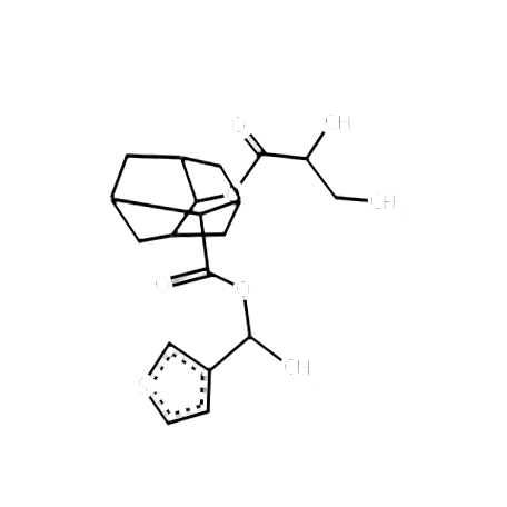 CCC(C)C(=O)OC1C2CC3CC1CC(C2)C3C(=O)OC(C)c1ccsc1